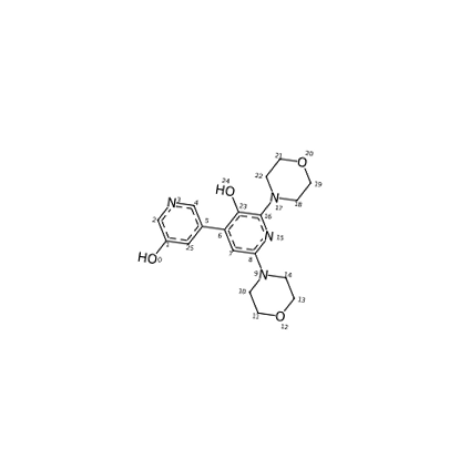 Oc1cncc(-c2cc(N3CCOCC3)nc(N3CCOCC3)c2O)c1